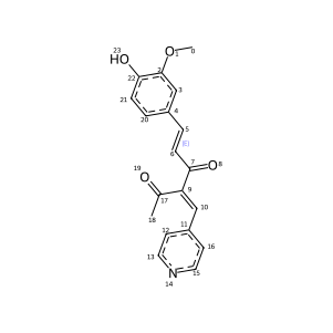 COc1cc(/C=C/C(=O)C(=Cc2ccncc2)C(C)=O)ccc1O